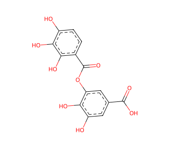 O=C(O)c1cc(O)c(O)c(OC(=O)c2ccc(O)c(O)c2O)c1